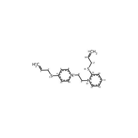 C=CCSc1cc[n+](CC[n+]2ccccc2SCC=C)cc1